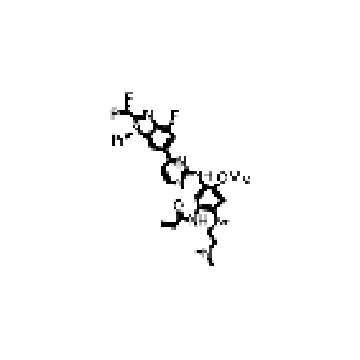 C=CC(=O)Nc1cc(Nc2nccc(-c3cc(F)c4nc(C(F)F)n(C(C)C)c4c3)n2)c(OC)cc1N(C)CCN(C)C